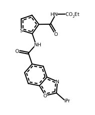 CCOC(=O)NC(=O)c1ccsc1NC(=O)c1ccc2oc(C(C)C)nc2c1